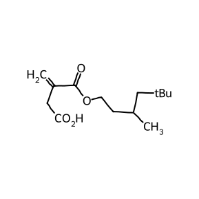 C=C(CC(=O)O)C(=O)OCCC(C)CC(C)(C)C